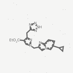 CCOC(=O)c1cn(Cc2cn3cc(C4CC4)ccc3n2)nc1Cc1nn[nH]n1